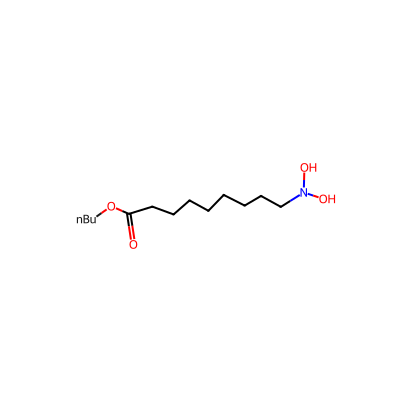 CCCCOC(=O)CCCCCCCCN(O)O